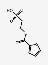 O=C(OCCS(=O)(=O)O)c1cccs1